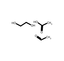 CC(=O)O.CC=O.OCCO